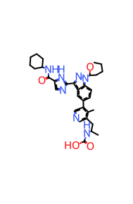 Cc1c(CC(C)NC(=O)O)cncc1-c1ccc2c(c1)c(-c1ncc(C(=O)NC3CCCCC3)[nH]1)nn2C1CCCCO1